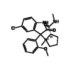 CNC(=O)[C@@H]1CCC[N+]1(C)C1(c2ccccc2OC)C(=O)Nc2ccc(Cl)cc21